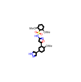 COc1ccc(-c2cn[nH]c2)cc1-c1cc(NS(=O)(=O)c2c(OC)cccc2OC)no1